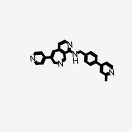 Cc1cc(-c2ccc(CNc3nccc4c3C=NCC(c3ccncc3)=C4)cc2)ccn1